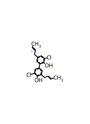 C/C=C/Cc1cc(Cl)c(O)c(-c2cc(Cl)c(O)c(C/C=C/C)c2)c1